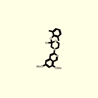 CCC1(Oc2c(C)cccc2C)CN(c2cc3cc(OC)cc(OC)c3cn2)CCO1